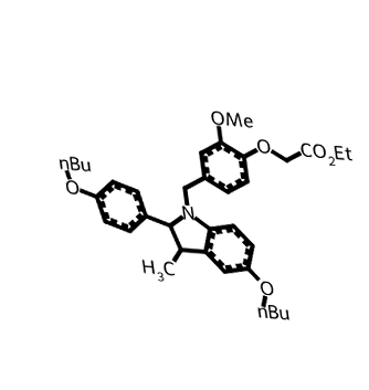 CCCCOc1ccc(C2C(C)c3cc(OCCCC)ccc3N2Cc2ccc(OCC(=O)OCC)c(OC)c2)cc1